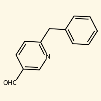 O=Cc1ccc(Cc2ccccc2)nc1